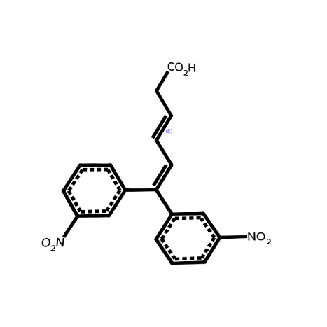 O=C(O)C/C=C/C=C(c1cccc([N+](=O)[O-])c1)c1cccc([N+](=O)[O-])c1